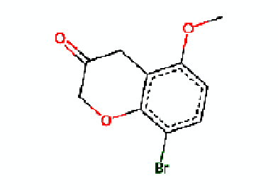 COc1ccc(Br)c2c1CC(=O)CO2